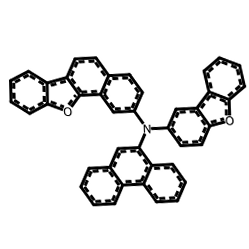 c1ccc2c(c1)cc(N(c1ccc3oc4ccccc4c3c1)c1ccc3ccc4c5ccccc5oc4c3c1)c1ccccc12